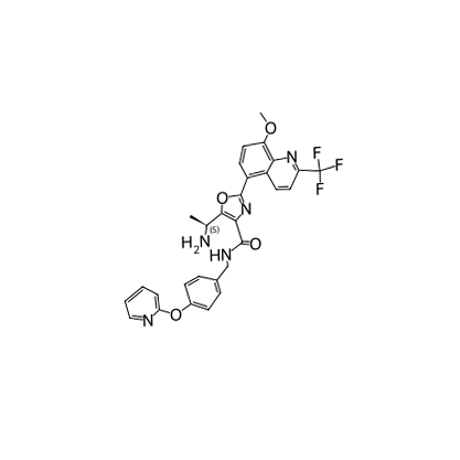 COc1ccc(-c2nc(C(=O)NCc3ccc(Oc4ccccn4)cc3)c([C@H](C)N)o2)c2ccc(C(F)(F)F)nc12